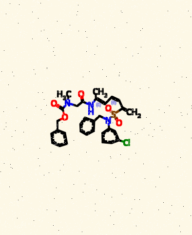 C=C(/C=C\C=C(/C)NC(=O)CN(C)C(=O)OCc1ccccc1)S(=O)(=O)N(Cc1ccccc1)c1cccc(Cl)c1